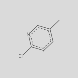 Cc1c[c]c(Cl)nc1